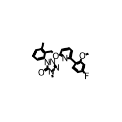 COc1cc(F)ccc1-c1cccc(OCc2c(C)cccc2-n2nnn(C)c2=O)n1